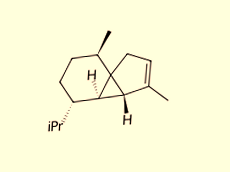 CC1=CCC23[C@@H]([C@@H]12)[C@H](C(C)C)CC[C@H]3C